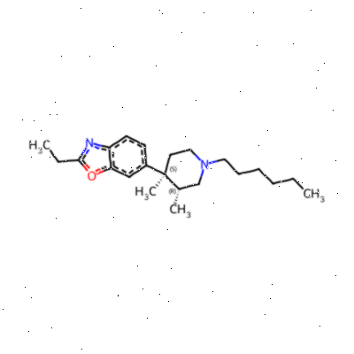 CCCCCCN1CC[C@](C)(c2ccc3nc(CC)oc3c2)[C@@H](C)C1